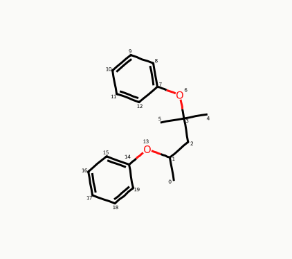 CC(CC(C)(C)Oc1ccccc1)Oc1ccccc1